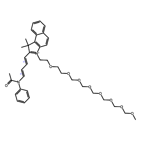 COCOCOCOCOCOCOCCOCC[N+]1=C(/C=C/C=C/N(C(C)=O)c2ccccc2)C(C)(C)c2c1ccc1ccccc21